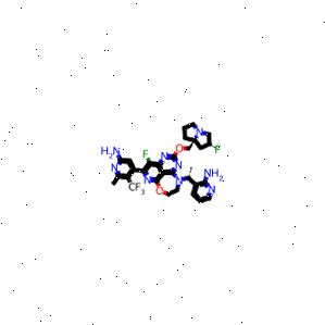 Cc1nc(N)cc(-c2nc3c4c(nc(OC[C@@]56CCCN5C[C@H](F)C6)nc4c2F)N([C@H](C)c2cccnc2N)CCO3)c1C(F)(F)F